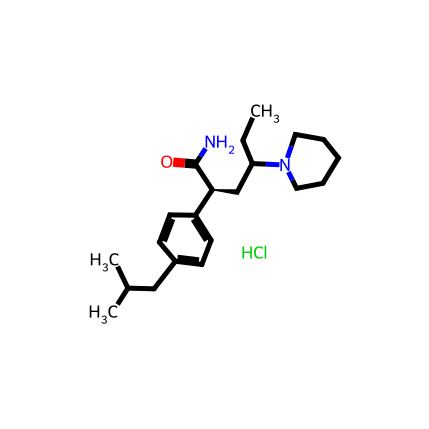 CCC(C[C@H](C(N)=O)c1ccc(CC(C)C)cc1)N1CCCCC1.Cl